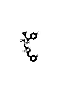 O=c1n(Cc2nnc(Cc3cccc(F)c3)[nH]2)nc(-c2ccc(Cl)cc2)n1C1CC1